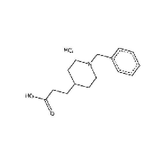 Cl.O=C(O)CCC1CCN(Cc2ccccc2)CC1